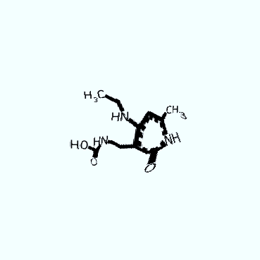 CCNc1cc(C)[nH]c(=O)c1CNC(=O)O